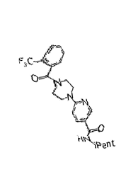 CCCC(C)NC(=O)c1ccc(N2CCN(C(=O)c3ccccc3C(F)(F)F)CC2)nc1